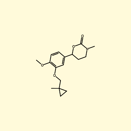 COc1ccc(C2CCN(C)C(=O)O2)cc1OCC1(C)CC1